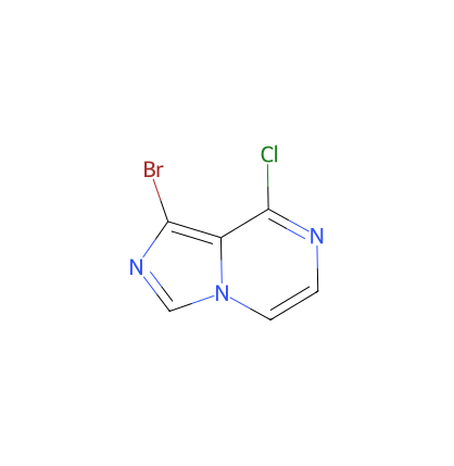 Clc1nccn2cnc(Br)c12